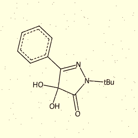 CC(C)(C)N1N=C(c2ccccc2)C(O)(O)C1=O